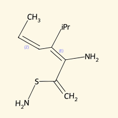 C=C(SN)/C(N)=C(\C=C/C)C(C)C